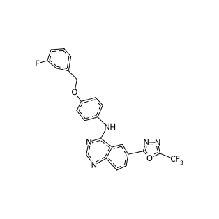 Fc1cccc(COc2ccc(Nc3ncnc4ccc(-c5nnc(C(F)(F)F)o5)cc34)cc2)c1